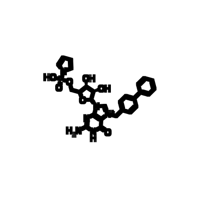 Nc1nc2c(c(=O)[nH]1)[n+](Cc1ccc(-c3ccccc3)cc1)cn2C1OC(COP(=O)(O)n2cccc2)[C@H](O)[C@@H]1O